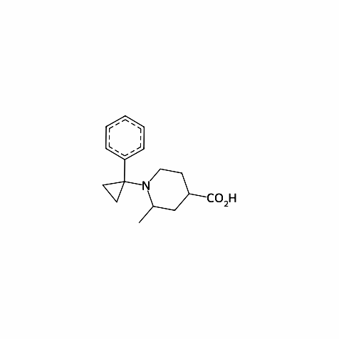 CC1CC(C(=O)O)CCN1C1(c2ccccc2)CC1